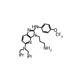 CC(C)CN(CC(C)C)c1ccc2nc(Nc3ccc(OC(F)(F)F)cc3)n(CCCN)c2n1